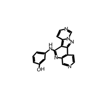 Oc1cccc(Nc2nc3cnccc3c3nn4cnccc4c23)c1